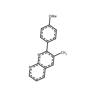 COc1ccc(-c2nc3ncccc3cc2C)cc1